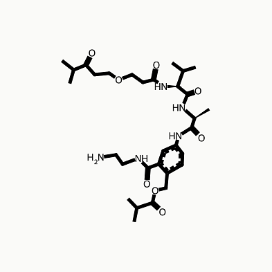 CC(C)C(=O)CCOCCC(=O)N[C@H](C(=O)N[C@@H](C)C(=O)Nc1ccc(COC(=O)C(C)C)c(C(=O)NCCN)c1)C(C)C